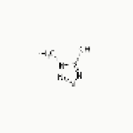 [CH2]n1nnnc1C